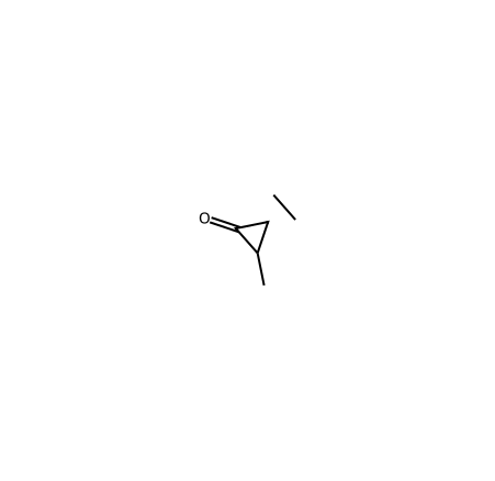 CC.CC1CC1=O